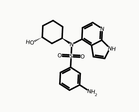 Nc1cccc(S(=O)(=O)N(c2ccnc3[nH]ccc23)[C@@H]2CCC[C@@H](O)C2)c1